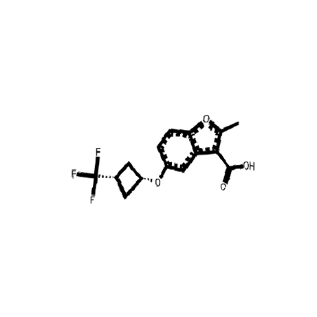 Cc1oc2ccc(O[C@H]3C[C@@H](C(F)(F)F)C3)cc2c1C(=O)O